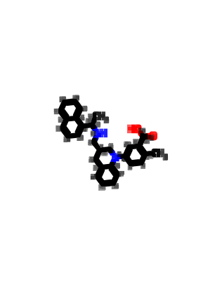 Cc1ccc(N2C[C@H](CN[C@H](C)c3cccc4ccccc34)Cc3ccccc32)cc1C(=O)O